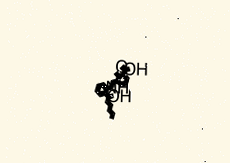 CCCCCC(O)c1ccccc1NCc1cccc(C(=O)O)c1C